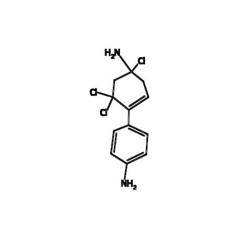 Nc1ccc(C2=CCC(N)(Cl)CC2(Cl)Cl)cc1